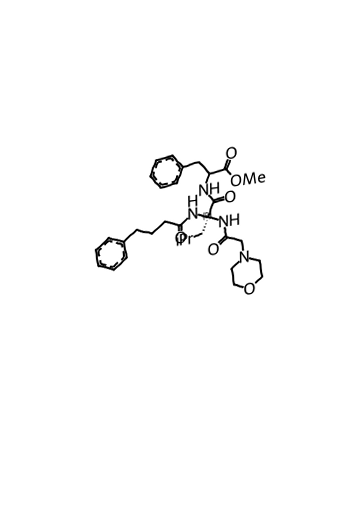 COC(=O)C(Cc1ccccc1)NC(=O)[C@](CC(C)C)(NC(=O)CCCc1ccccc1)NC(=O)CN1CCOCC1